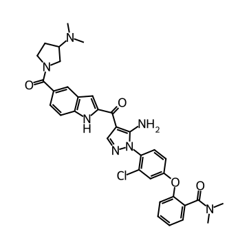 CN(C)C(=O)c1ccccc1Oc1ccc(-n2ncc(C(=O)c3cc4cc(C(=O)N5CCC(N(C)C)C5)ccc4[nH]3)c2N)c(Cl)c1